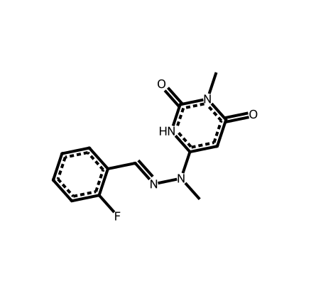 CN(/N=C/c1ccccc1F)c1cc(=O)n(C)c(=O)[nH]1